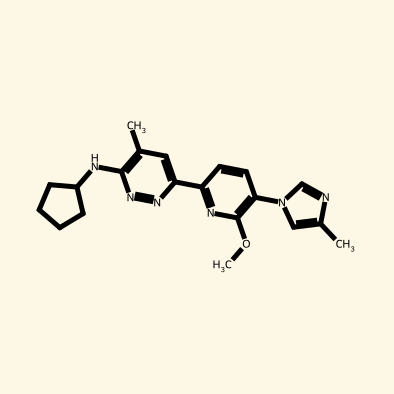 COc1nc(-c2cc(C)c(NC3CCCC3)nn2)ccc1-n1cnc(C)c1